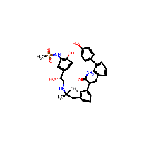 CC(C)(Cc1cccc(C(Cc2cccc(-c3ccc(O)cc3)c2)C(N)=O)c1)NC[C@H](O)c1ccc(O)c(NS(C)(=O)=O)c1